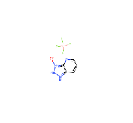 F[B-](F)(F)F.[O-][n+]1[nH][nH+]c2cccnc21